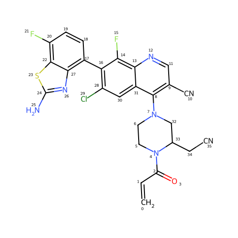 C=CC(=O)N1CCN(c2c(C#N)cnc3c(F)c(-c4ccc(F)c5sc(N)nc45)c(Cl)cc23)CC1CC#N